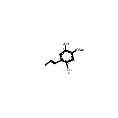 CC=Cc1cc(O)c(OC)cc1O